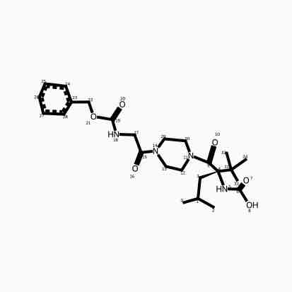 CC(C)C[C@@](NC(=O)O)(C(=O)N1CCN(C(=O)CNC(=O)OCc2ccccc2)CC1)C(C)(C)C